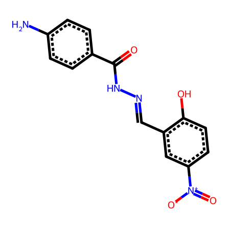 Nc1ccc(C(=O)N/N=C/c2cc([N+](=O)[O-])ccc2O)cc1